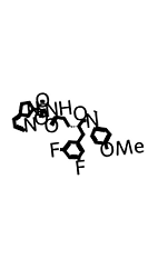 COc1ccc(N(C)C(=O)[C@@H](CCC(=O)NS(=O)(=O)N2CCc3cccnc32)Cc2cc(F)cc(F)c2)cc1